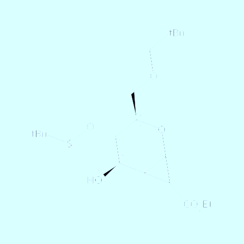 CCOC(=O)C1C2O[C@H](COCC(C)(C)C)[C@@H](OSC(C)(C)C)[C@H](O)C21